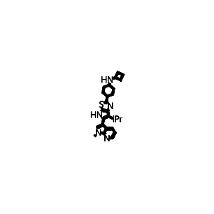 CC(C)c1c(-c2cn(C)c3ncccc23)[nH]c2sc(C3CCC(NC4CCC4)CC3)nc12